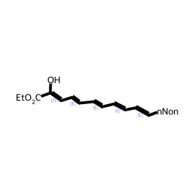 CCCCCCCCC/C=C/C=C/C=C/C=C/C=C(\O)C(=O)OCC